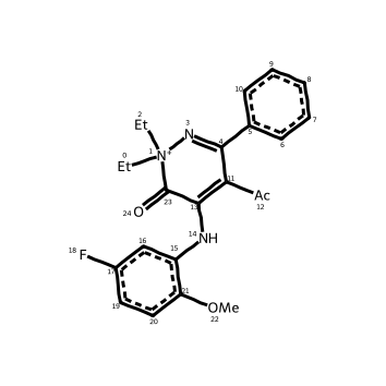 CC[N+]1(CC)N=C(c2ccccc2)C(C(C)=O)=C(Nc2cc(F)ccc2OC)C1=O